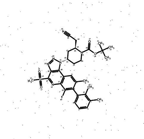 Cc1cccc(-c2c(C)cc3c(nc(S(C)(=O)=O)c4nnn([C@H]5CCN(C(=O)OC(C)(C)C)[C@H](CC#N)C5)c43)c2F)c1C